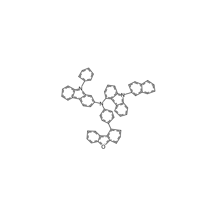 c1ccc(-n2c3ccccc3c3ccc(N(c4ccc(-c5cccc6oc7ccccc7c56)cc4)c4cccc5c4c4ccccc4n5-c4ccc5ccccc5c4)cc32)cc1